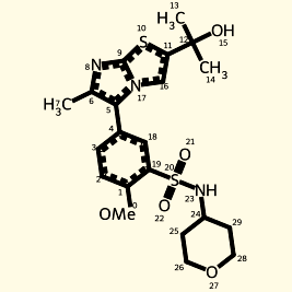 COc1ccc(-c2c(C)nc3sc(C(C)(C)O)cn23)cc1S(=O)(=O)NC1CCOCC1